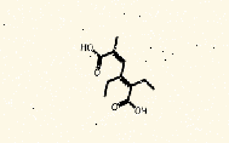 CCC(C=C(C)C(=O)O)=C(CC)C(=O)O